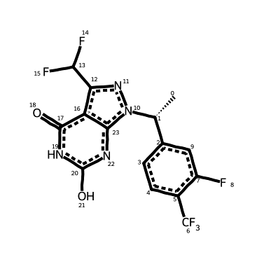 C[C@H](c1ccc(C(F)(F)F)c(F)c1)n1nc(C(F)F)c2c(=O)[nH]c(O)nc21